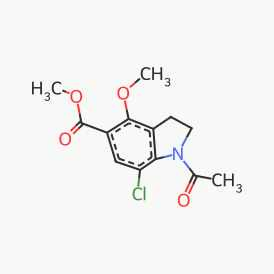 COC(=O)c1cc(Cl)c2c(c1OC)CCN2C(C)=O